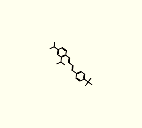 CC(C)c1ccc(C=CC=Cc2ccc(C(C)(C)C)cc2)c(C(C)C)c1